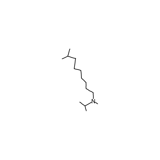 CC(C)CCCCCCCN(C)C(C)C